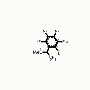 COC(c1c(F)c(F)c(F)c(F)c1F)C(F)(F)F